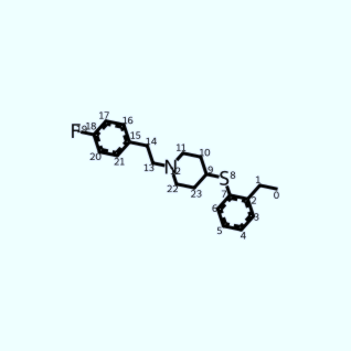 CCc1ccccc1SC1CCN(CCc2ccc(F)cc2)CC1